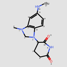 CN1CN(C2CCC(=O)NC2=O)c2ccc(NC(C)(C)C)cc21